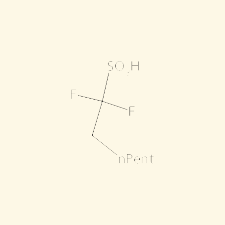 CCCCCCC(F)(F)S(=O)(=O)O